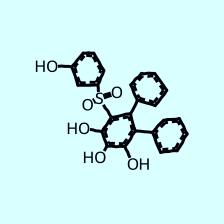 O=S(=O)(c1cccc(O)c1)c1c(O)c(O)c(O)c(-c2ccccc2)c1-c1ccccc1